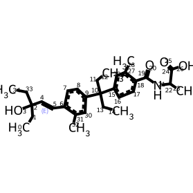 CCC(O)(/C=C/c1ccc(C(CC)(CC)c2ccc(C(=O)NC(C)C(=O)O)c(C)c2)cc1C)CC